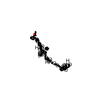 CCC12CC(C3=C(CN4CCN(c5ccc(C(=O)NS(=O)(=O)c6ccc(N[C@H](CCN7CCC(OC(=O)NCCOCCOCCNc8cccc9c8C(=O)N(C8CCC(=O)NC8=O)C9=O)CC7)CSc7ccccc7)c(S(=O)(=O)C(F)(F)F)c6)cc5)CC4)CCC(C)(C)C3)(C1)C2